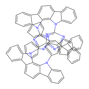 c1ccc(-c2cc(-c3ccccc3)cc(-n3c4ccccc4c4ccc5c6ccccc6n(-c6nc(-c7ccccc7)nc(-n7c8ccccc8c8ccc9c%10ccccc%10n(-c%10nc(-c%11ccccc%11)nc(-c%11ccccc%11)n%10)c9c87)n6)c5c43)c2)cc1